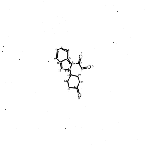 O=CC(=O)c1c2ccccc2cn1C1CCC(=O)CC1